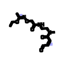 CCO/C(C)=N\OCC(=O)NCCN(C)C(=O)/C=C\C=O